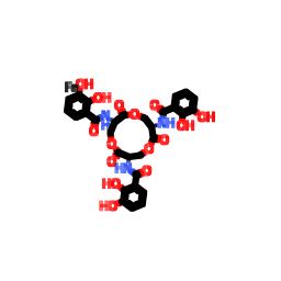 O=C(N[C@H]1COC(=O)[C@@H](NC(=O)c2cccc(O)c2O)COC(=O)[C@@H](NC(=O)c2cccc(O)c2O)COC1=O)c1cccc(O)c1O.[Fe]